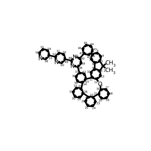 CC1(C)c2ccccc2-c2cc3c(cc21)Oc1ccccc1-c1ccccc1-c1ccccc1-c1ccc(-c2cc(-c4ccccc4)nc(-c4ccc(-c5cccnc5)nc4)n2)cc1-3